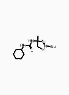 CCC(C)N=NC(C)(CC(C)C)NC(=O)NC1CCCCC1